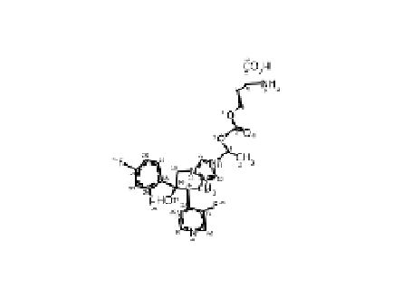 CC(OC(=O)OCC[C@@H](N)C(=O)O)[n+]1cnn(CC(O)(c2ccc(F)cc2F)[C@@H](C)c2ncncc2F)c1